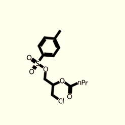 CCCC(=O)OC(CCl)COS(=O)(=O)c1ccc(C)cc1